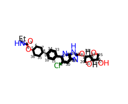 CCNC(=O)O[C@H]1CC[C@@H](c2ccc(-c3nc4[nH]c(O[C@@H]5CO[C@H]6[C@@H]5OC[C@H]6O)nc4cc3Cl)cc2)CC1